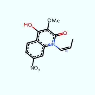 C/C=C\n1c(=O)c(OC)c(O)c2ccc([N+](=O)[O-])cc21